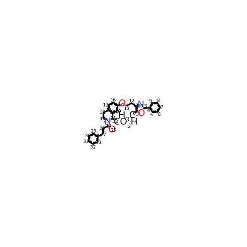 Cc1oc(-c2ccccc2)nc1CCOc1ccc2c(c1)C(C(=O)O)N(C(=O)C=Cc1ccccc1)CC2